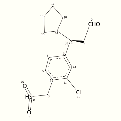 O=CC[C@@H](c1ccc(C[SH](=O)=O)c(Cl)c1)C1CCCC1